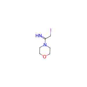 N=C(CI)N1CCOCC1